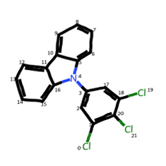 Clc1cc(-n2c3ccccc3c3ccccc32)cc(Cl)c1Cl